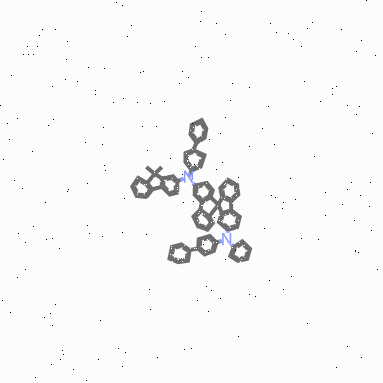 CC1(C)c2ccccc2-c2ccc(N(c3ccc(-c4ccccc4)cc3)c3ccc4c(c3)-c3ccccc3C43c4ccccc4-c4ccc(N(c5ccccc5)c5ccc(-c6ccccc6)cc5)cc43)cc21